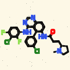 CN1CCCC1C=CC(=O)Nc1ccc2ncnc(Nc3ccc(F)c(Cl)c3F)c2c1-c1cccc(Cl)c1